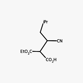 CCOC(=O)C(C(=O)O)C(C#N)CC(C)C